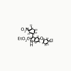 CCOC(=O)c1[nH]c2ccc(Oc3cccc(Cl)c3)cc2c1-c1ccc(C)c([N+](=O)[O-])c1